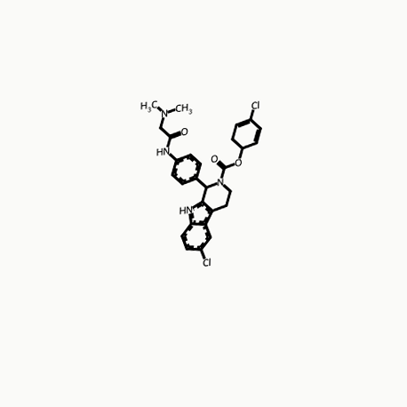 CN(C)CC(=O)Nc1ccc(C2c3[nH]c4ccc(Cl)cc4c3CCN2C(=O)OC2C=CC(Cl)=CC2)cc1